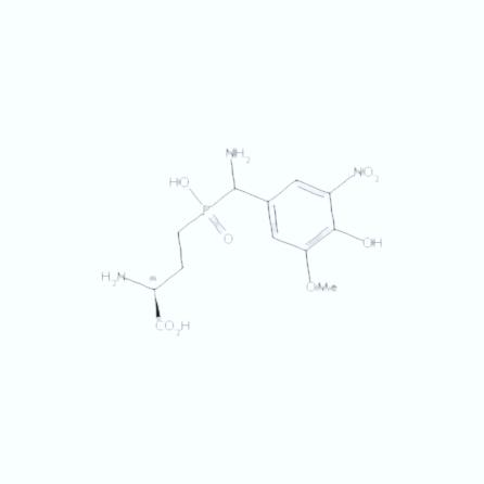 COc1cc(C(N)P(=O)(O)CC[C@H](N)C(=O)O)cc([N+](=O)[O-])c1O